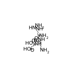 N=C(N)NCCC[C@H](N)C(=O)N[C@@H](CCCCN)C(=O)N[C@@H](CCC(=O)O)C(=O)O